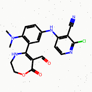 CN(C)c1ccc(Nc2ccnc(Cl)c2C#N)cc1C1=C(C=O)C(=O)OCCN1